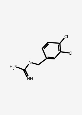 N=C(N)NCc1ccc(Cl)c(Cl)c1